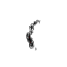 CCC[C@@H](F)CCOc1cnc(-c2ccc(OCC(F)(F)C(F)(F)C(F)(F)OC(F)(F)C(F)(F)C(F)(F)C(F)(F)OC(F)(F)C(F)(F)C(F)(F)C(F)(F)F)c(F)c2)nc1